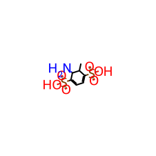 CC1C(S(=O)(=O)O)=CC=C(S(=O)(=O)O)C1N